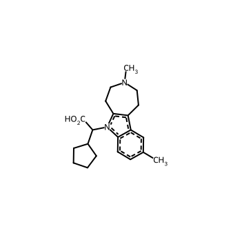 Cc1ccc2c(c1)c1c(n2C(C(=O)O)C2CCCC2)CCN(C)CC1